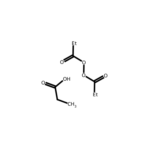 CCC(=O)O.CCC(=O)OOC(=O)CC